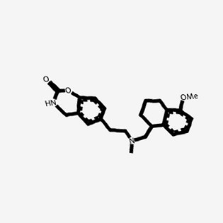 COc1cccc2c1CCCC2CN(C)CCc1ccc2c(c1)CNC(=O)O2